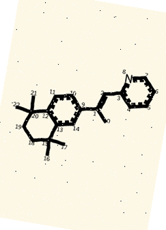 CC(=Cc1ccccn1)c1ccc2c(c1)C(C)(C)CCC2(C)C